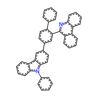 c1ccc(-c2ccc(-c3ccc4c(c3)c3ccccc3n4-c3ccccc3)cc2-c2nc3ccccc3c3ccccc23)cc1